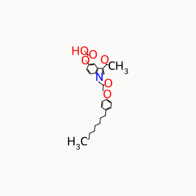 CCCCCCCCc1ccc(OCC(=O)Cn2cc(C(C)=O)c3cc(OC(=O)O)ccc32)cc1